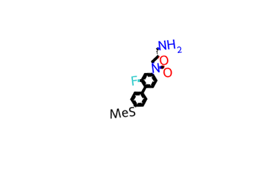 CSc1ccc(-c2ccc(N3C[C@H](CN)OC3=O)cc2F)cc1